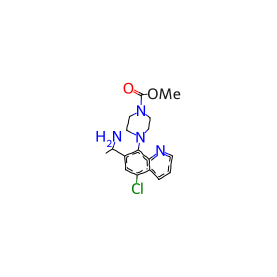 COC(=O)N1CCN(c2c(C(C)N)cc(Cl)c3cccnc23)CC1